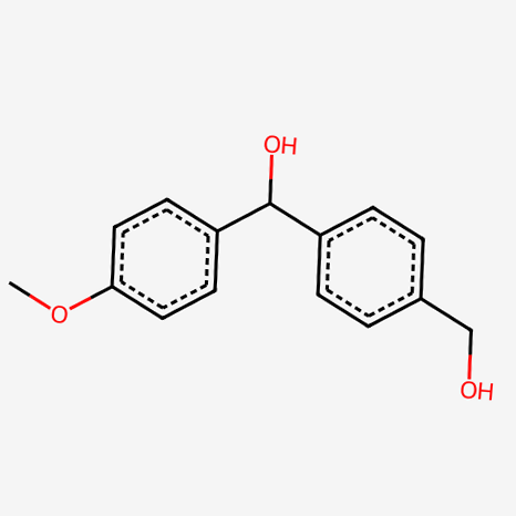 COc1ccc(C(O)c2ccc(CO)cc2)cc1